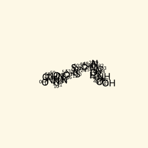 COC(=O)N[C@H](C(=O)N1CCCC1c1nc2cc(-c3csc4c(-c5ccc(-c6cnc(C7CCCN7C(=O)[C@@H](NC(=O)CO)C(C)C)[nH]6)cc5)csc34)ccc2[nH]1)C(C)C